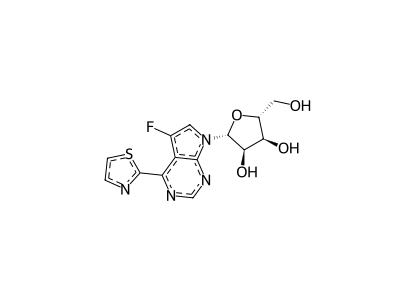 OC[C@H]1O[C@@H](n2cc(F)c3c(-c4nccs4)ncnc32)[C@H](O)[C@@H]1O